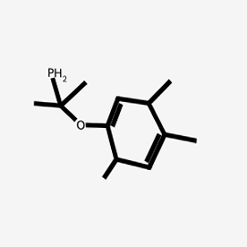 CC1=CC(C)C(OC(C)(C)P)=CC1C